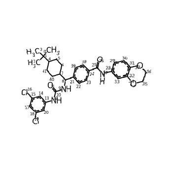 CC(C)(C)C1CCC(C(NC(=O)Nc2cc(Cl)cc(Cl)c2)c2ccc(C(=O)Nc3ccc4c(c3)OCCO4)cc2)CC1